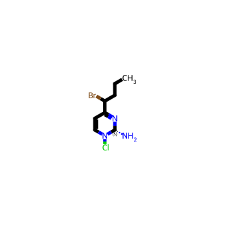 CCCC(Br)C1=N[C@H](N)N(Cl)C=C1